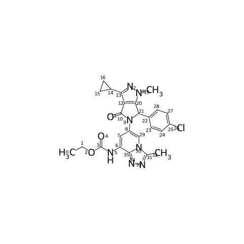 CCOC(=O)Nc1cc(N2C(=O)c3c(C4CC4)nn(C)c3C2c2ccc(Cl)cc2)cn2c(C)nnc12